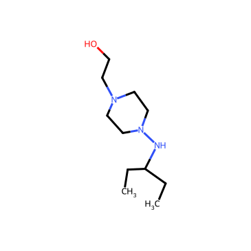 CCC(CC)NN1CCN(CCO)CC1